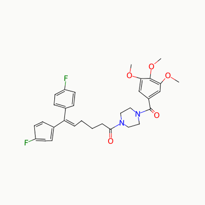 COc1cc(C(=O)N2CCN(C(=O)CCCC=C(c3ccc(F)cc3)c3ccc(F)cc3)CC2)cc(OC)c1OC